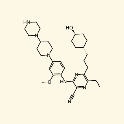 CCc1nc(C#N)c(Nc2ccc(N3CCC(N4CCNCC4)CC3)cc2OC)nc1CCC[C@H]1CC[C@H](O)CC1